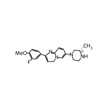 COc1ccc(C2=CCN3C=C(N4CCN[C@@H](C)C4)C=CC3=N2)cc1F